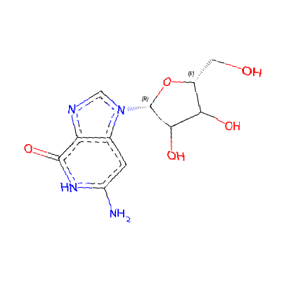 Nc1cc2c(ncn2[C@@H]2O[C@H](CO)C(O)C2O)c(=O)[nH]1